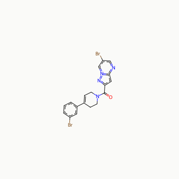 O=C(c1cc2ncc(Br)cn2n1)N1CC=C(c2cccc(Br)c2)CC1